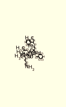 CCC(CNCC(=O)N[C@H](Cc1ccccc1)C(=O)N[C@H](CC(C)C)C(=O)N[C@H](C)CCCCN)c1ccccc1